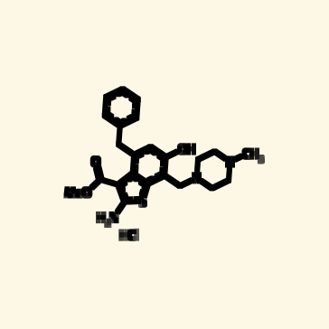 COC(=O)c1c(N)sc2c(CN3CCN(C)CC3)c(O)cc(Cc3ccccc3)c12.Cl